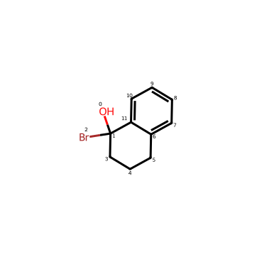 OC1(Br)CCCc2ccccc21